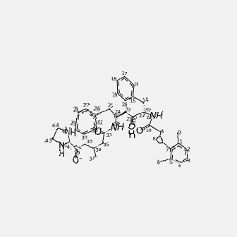 Cc1cccc(C)c1OCC(=O)N[C@@H](Cc1ccccc1)[C@@H](O)C[C@H](Cc1ccccc1)NC(=O)CC(C)C[S+]([O-])C1NCCN1